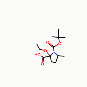 CCOC1(C(=O)O)CCC(C)N1C(=O)OC(C)(C)C